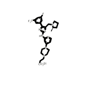 CCOC(=O)CCN1CCN(c2ccnc(Nc3nc(-c4cc(F)cc(C(F)(F)F)c4)c(CN4CCC[C@H]4C)s3)c2)CC1